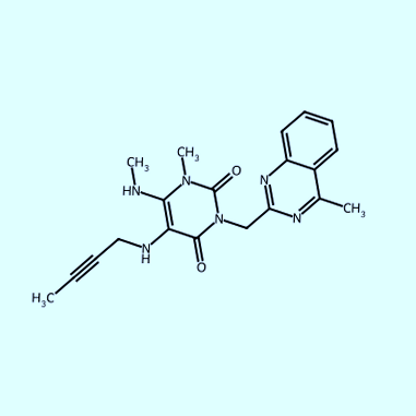 CC#CCNc1c(NC)n(C)c(=O)n(Cc2nc(C)c3ccccc3n2)c1=O